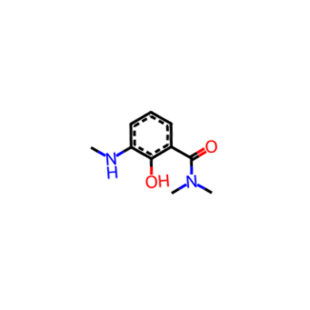 CNc1cccc(C(=O)N(C)C)c1O